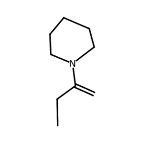 C=C(CC)N1CCCCC1